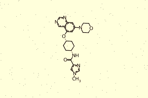 Cn1cnc(C(=O)N[C@H]2CC[C@@H](Oc3cc(N4CCOCC4)cc4ncncc34)CC2)c1